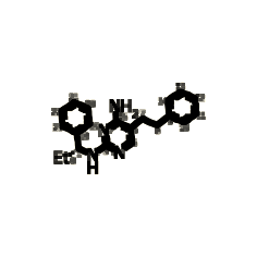 CC[C@@H](Nc1ncc(CCc2ccccc2)c(N)n1)c1ccccc1